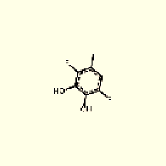 Cc1cc(F)c(O)c(O)c1F